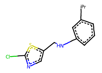 CC(C)c1cccc(NCc2cnc(Cl)s2)c1